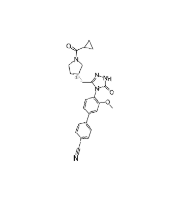 COc1cc(-c2ccc(C#N)cc2)ccc1-n1c(C[C@@H]2CCN(C(=O)C3CC3)C2)n[nH]c1=O